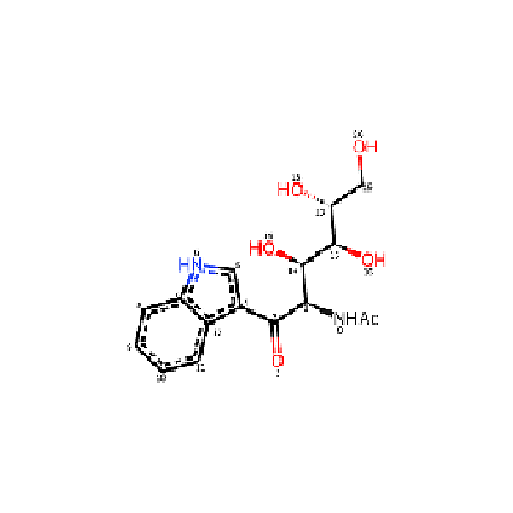 CC(=O)N[C@@H](C(=O)c1c[nH]c2ccccc12)[C@@H](O)[C@H](O)[C@H](O)CO